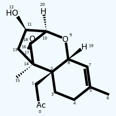 CC(=O)C[C@]12CCC(C)=C[C@H]1O[C@@H]1[C@H](O)C[C@@]2(C)[C@]12CO2